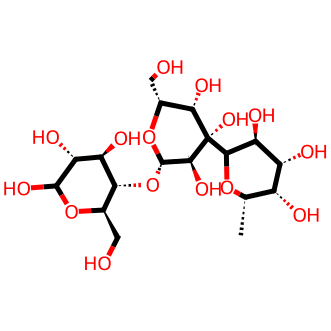 C[C@@H]1OC([C@@]2(O)[C@@H](O)[C@H](O[C@H]3[C@H](O)[C@@H](O)C(O)O[C@@H]3CO)O[C@H](CO)[C@@H]2O)[C@@H](O)[C@H](O)[C@@H]1O